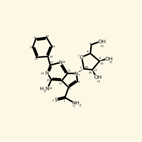 NC(=S)c1cn([C@@H]2OC(CO)[C@@H](O)[C@H]2O)c2nc(-c3ccccc3)nc(N)c12